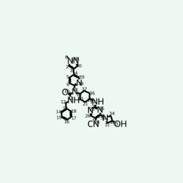 Cn1cc(-c2ccc(N(C(=O)NCc3ccccc3)C3CCC(Nc4ncc(C#N)c(N5CC(O)C5)n4)CC3)nc2)cn1